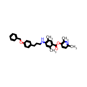 Cc1ccc(OC(=O)c2cc(C)c(NCCCc3ccc(OCc4ccccc4)cc3)cc2C)c(C)n1